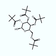 CC(C)(C)C(=O)OC[C@H]1O[C@@H](O)[C@H](OC(=O)C(C)(C)C)[C@@H](OC(=O)C(C)(C)C)[C@H]1OC(=O)C(C)(C)C